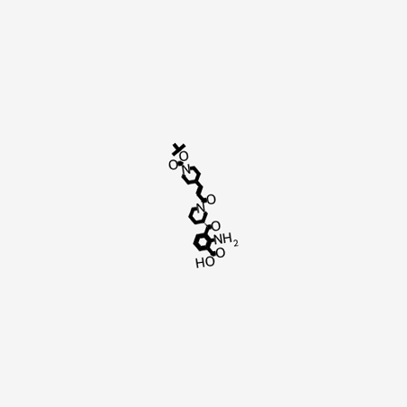 CC(C)(C)OC(=O)N1CCC(C=CC(=O)N2CCC[C@@H](C(=O)c3cccc(C(=O)O)c3N)C2)CC1